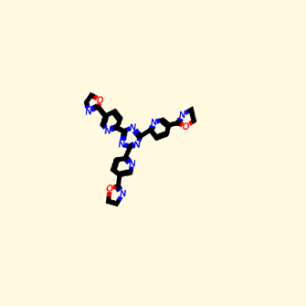 c1cc(-c2nc(-c3ccc(C4=NCCO4)cn3)nc(-c3ccc(C4=NCCO4)cn3)n2)ncc1C1=NCCO1